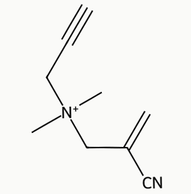 C#CC[N+](C)(C)CC(=C)C#N